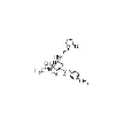 Cc1ccc(CNc2nc(NCCCN3CCCC3=O)nc3c2ncn3C(C)C)cc1